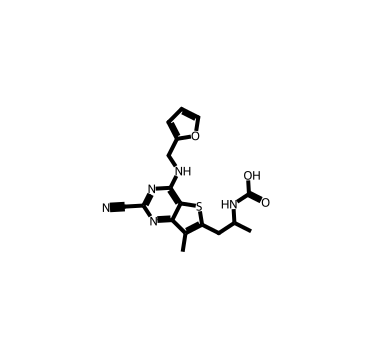 Cc1c(CC(C)NC(=O)O)sc2c(NCc3ccco3)nc(C#N)nc12